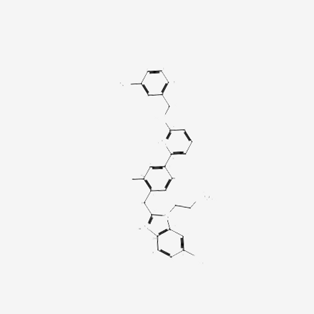 COCCn1c(Cc2ccc(-c3cccc(OCc4cccc(C#N)c4)n3)cc2F)nc2ccc(C(=O)O)cc21